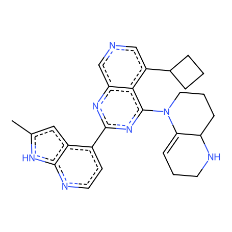 Cc1cc2c(-c3nc(N4CCCC5NCCC=C54)c4c(C5CCC5)cncc4n3)ccnc2[nH]1